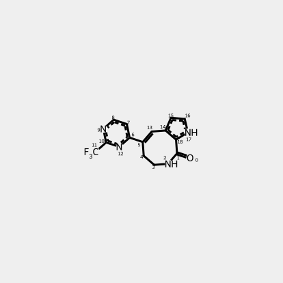 O=C1NCCC(c2ccnc(C(F)(F)F)n2)=Cc2cc[nH]c21